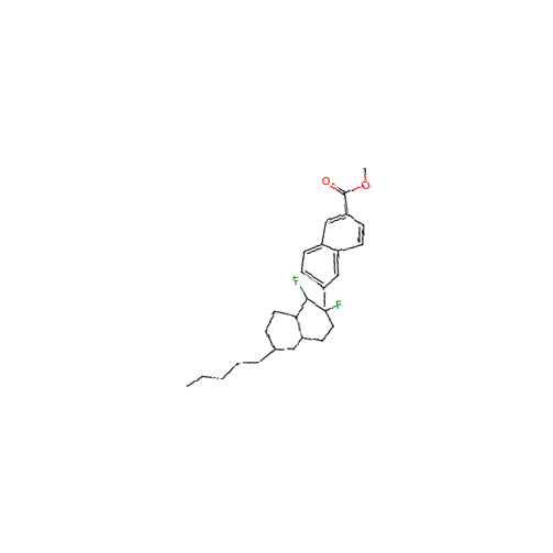 CCCCCC1CCC2C(CCC(F)(c3ccc4cc(C(=O)OC)ccc4c3)C2F)C1